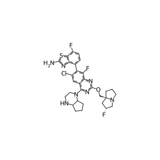 Nc1nc2c(-c3c(Cl)cc4c(N5CCNC6CCCC65)nc(OC[C@@]56CCCN5C[C@H](F)C6)nc4c3F)ccc(F)c2s1